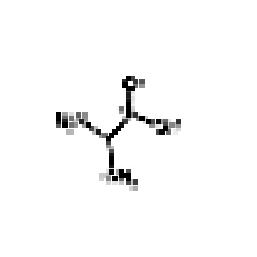 NC(N)C(=O)O